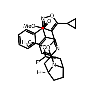 COC(=O)c1cnc(N2C3CC[C@H]2CC(OCc2c(-c4ccccc4OC(F)F)noc2C2CC2)C3)cc1C